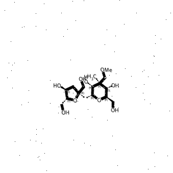 COC[C@@]1(C)[C@H](O)[C@@H](CO)O[C@H](C[C@@]2(CO)C[C@H](O)[C@@H](CO)O2)[C@@H]1O